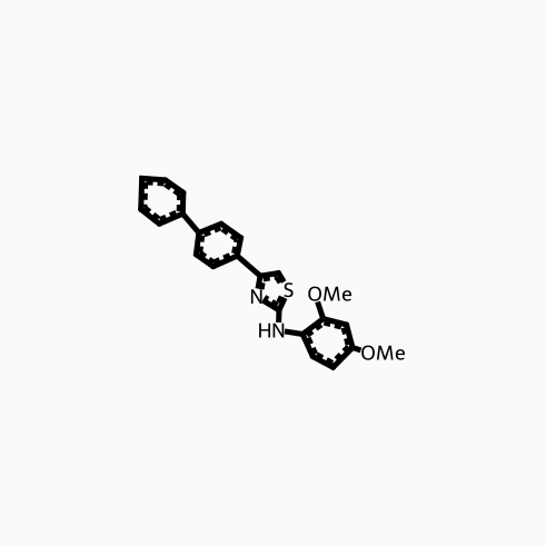 COc1ccc(Nc2nc(-c3ccc(-c4ccccc4)cc3)cs2)c(OC)c1